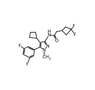 Cn1nc(NC(=O)CC2CC(F)(F)C2)c(C2CCC2)c1-c1cc(F)cc(F)c1